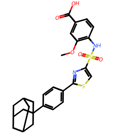 COc1cc(C(=O)O)ccc1NS(=O)(=O)c1csc(-c2ccc(C34CC5CC(CC(C5)C3)C4)cc2)n1